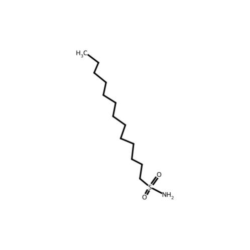 CCCCCCCCCCCCCS(N)(=O)=O